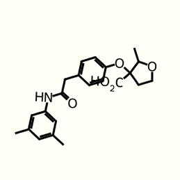 Cc1cc(C)cc(NC(=O)Cc2ccc(OC3(C(=O)O)CCOC3C)cc2)c1